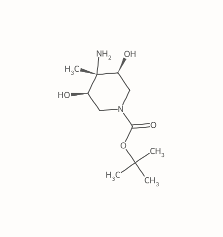 CC(C)(C)OC(=O)N1C[C@@H](O)[C@](C)(N)[C@@H](O)C1